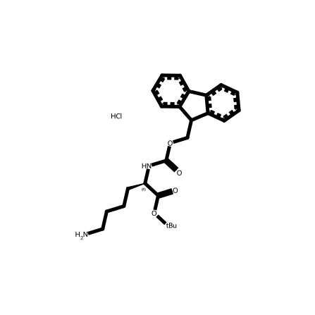 CC(C)(C)OC(=O)[C@@H](CCCCN)NC(=O)OCC1c2ccccc2-c2ccccc21.Cl